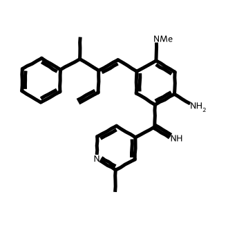 C=C/C(=C\c1cc(C(=N)c2ccnc(C)c2)c(N)cc1NC)C(C)c1ccccc1